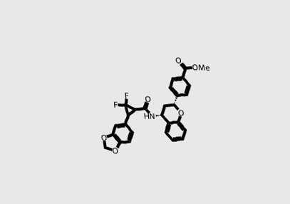 COC(=O)c1ccc([C@H]2C[C@@H](NC(=O)C3C(c4ccc5c(c4)OCO5)C3(F)F)c3ccccc3O2)cc1